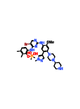 COc1cc(N2CCN(C3CCNCC3)CC2)c(-c2cnn(C)c2)cc1Nc1ncc(Br)c(Nc2ccc(C)c(C)c2OP(C)(C)(O)O)n1